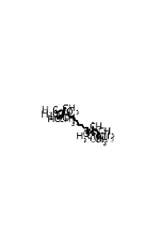 CC1CC(C)(C)N(O)C(C)(C)N1C(=O)CCCCCCCCC(=O)N1C(C)CC(C)(C)N(O)C1(C)C